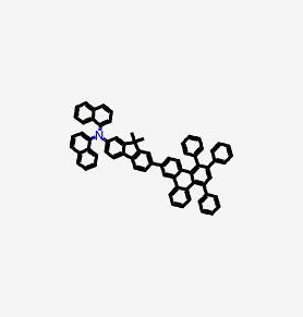 CC1(C)c2cc(-c3ccc4c(c3)c3ccccc3c3c(-c5ccccc5)cc(-c5ccccc5)c(-c5ccccc5)c43)ccc2-c2ccc(N(c3cccc4ccccc34)c3cccc4ccccc34)cc21